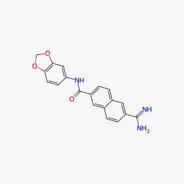 N=C(N)c1ccc2cc(C(=O)Nc3ccc4c(c3)OCO4)ccc2c1